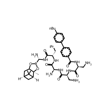 CCCCc1ccc(-c2ccc(C(=O)N[C@@H](CN)C(=O)N[C@@H](CN)C(=O)N[C@@H](N)C(=O)N[C@@H](CC(C)C)C(=O)N[C@@H](N)B3OC4C[C@@H]5C[C@@H](C5(C)C)[C@]4(C)O3)cc2)cc1